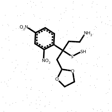 NCCC(CC1OCCO1)(SS)c1ccc([N+](=O)[O-])cc1[N+](=O)[O-]